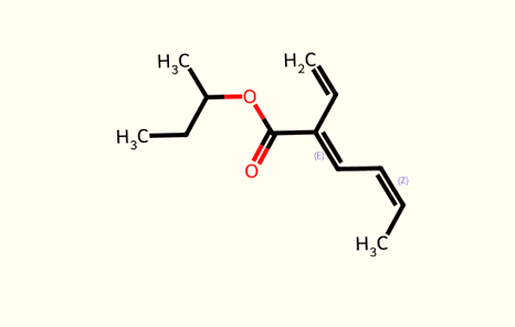 C=C/C(=C\C=C/C)C(=O)OC(C)CC